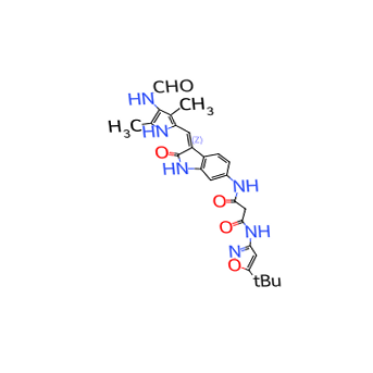 Cc1[nH]c(/C=C2\C(=O)Nc3cc(NC(=O)CC(=O)Nc4cc(C(C)(C)C)on4)ccc32)c(C)c1NC=O